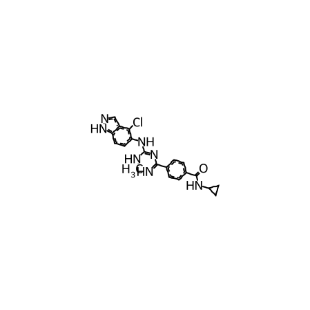 CN/C(=N\C(=N)c1ccc(C(=O)NC2CC2)cc1)Nc1ccc2[nH]ncc2c1Cl